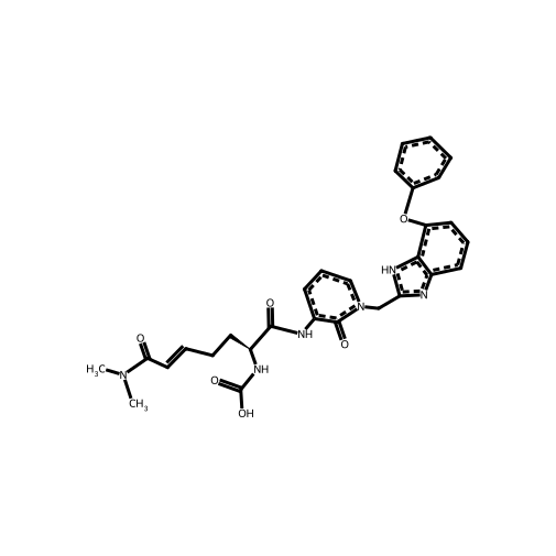 CN(C)C(=O)/C=C/CC[C@H](NC(=O)O)C(=O)Nc1cccn(Cc2nc3cccc(Oc4ccccc4)c3[nH]2)c1=O